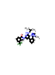 CC(C)CNc1cc(-c2ccccc2-c2nncn2C)cc(N2Cc3c(cccc3C(F)(F)F)C2=O)n1